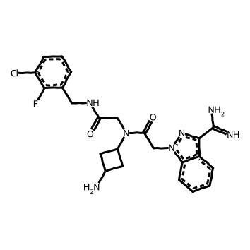 N=C(N)c1nn(CC(=O)N(CC(=O)NCc2cccc(Cl)c2F)C2CC(N)C2)c2ccccc12